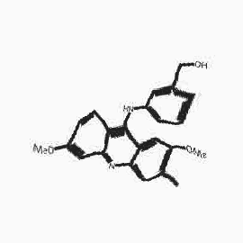 COc1ccc2c(Nc3cccc(CO)c3)c3cc(OC)c(C)cc3nc2c1